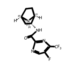 O=C(N[C@@H]1C[C@H]2CC[C@@H]1N2)c1ncc(F)c(C(F)(F)F)n1